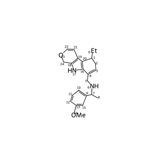 CCC1CC=C(CNC(C)c2cccc(OC)c2)c2[nH]c3c(c21)C=COC3